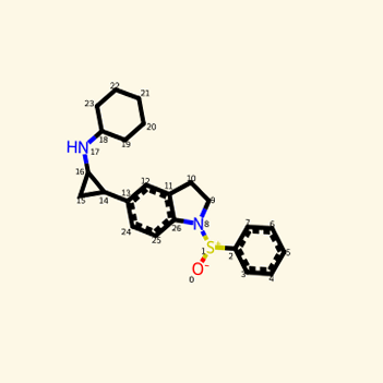 [O-][S+](c1ccccc1)N1CCc2cc(C3CC3NC3CCCCC3)ccc21